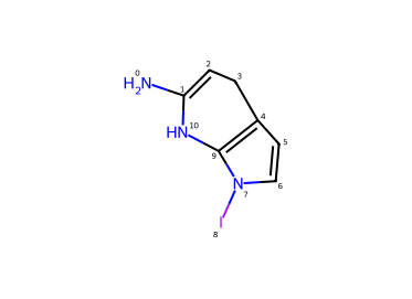 NC1=CCc2ccn(I)c2N1